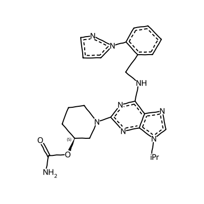 CC(C)n1cnc2c(NCc3ccccc3-n3cccn3)nc(N3CCC[C@H](OC(N)=O)C3)nc21